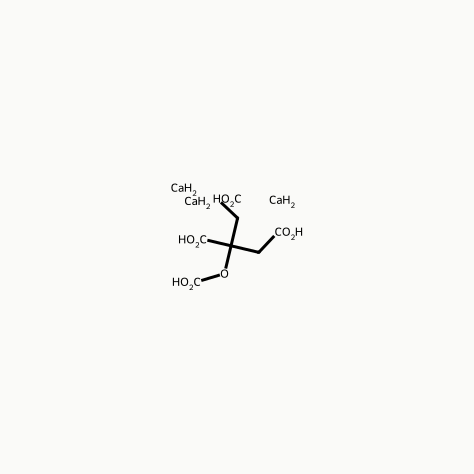 O=C(O)CC(CC(=O)O)(OC(=O)O)C(=O)O.[CaH2].[CaH2].[CaH2]